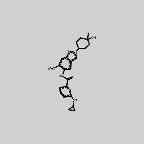 COc1cc2nn(C3CCC(C)(O)CC3)cc2cc1NC(=O)c1cccc(NC2CC2)n1